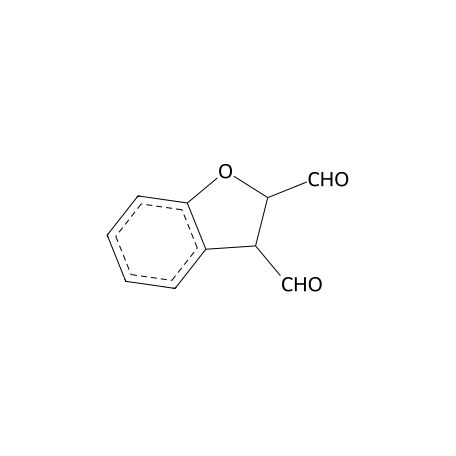 O=CC1Oc2ccccc2C1C=O